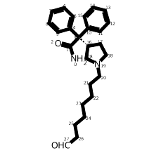 NC(=O)C(c1ccccc1)(c1ccccc1)[C@@H]1CCN(CCCCCCCC=O)C1